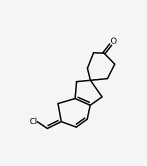 O=C1CCC2(CC1)CC1=C(CC(=CCl)C=C1)C2